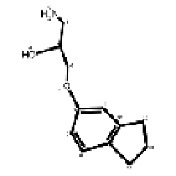 NCC(O)COc1ccc2c(c1)CCC2